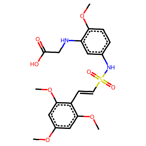 COc1cc(OC)c(C=CS(=O)(=O)Nc2ccc(OC)c(NCC(=O)O)c2)c(OC)c1